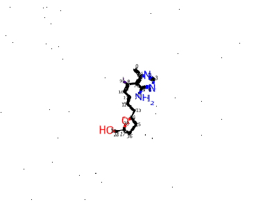 Cc1ncnc(N)c1/C(I)=C\CCC[C@H]1CC[C@@H](CO)O1